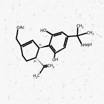 C=C(C)[C@@H]1CCC(COC(C)=O)=C[C@H]1c1c(O)cc(C(C)(C)CCCCCCC)cc1O